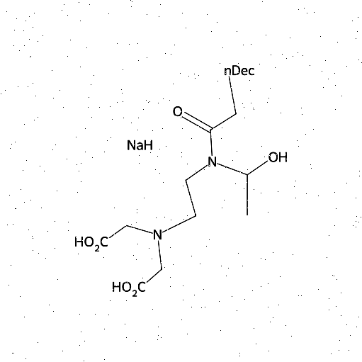 CCCCCCCCCCCC(=O)N(CCN(CC(=O)O)CC(=O)O)C(C)O.[NaH]